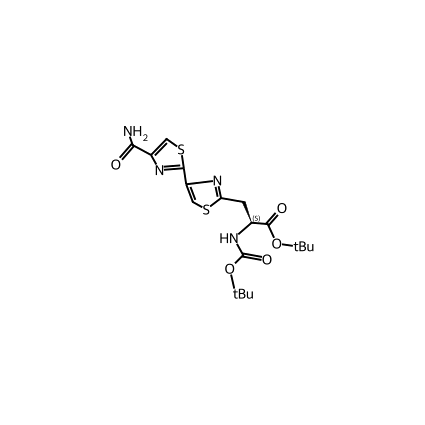 CC(C)(C)OC(=O)N[C@@H](Cc1nc(-c2nc(C(N)=O)cs2)cs1)C(=O)OC(C)(C)C